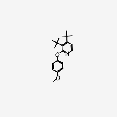 COc1ccc(Oc2nccc(C(C)(C)C)c2C(C)(C)C)cc1